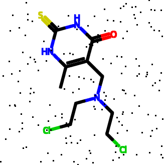 Cc1[nH]c(=S)[nH]c(=O)c1CN(CCCl)CCCl